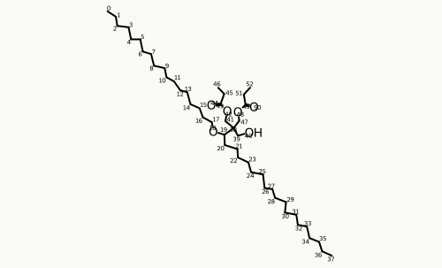 CCCCCCCCCCCCCCCCCCOC(CCCCCCCCCCCCCCCCCC)C(CO)(COC(=O)CC)COC(=O)CC